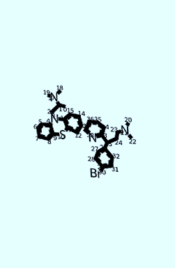 CC(CN1c2ccccc2Sc2ccccc21)N(C)C.CN(C)CCC(c1ccc(Br)cc1)c1ccccn1